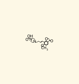 COc1ccc2c(c1C=CCCN1CCN(C(=O)O)CC1)OCC2=O